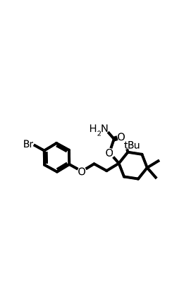 CC1(C)CCC(CCOc2ccc(Br)cc2)(OC(N)=O)C(C(C)(C)C)C1